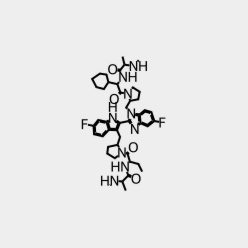 CCC(NC(=O)C(C)NC)C(=O)N1CCCC1Cc1c(-c2nc3cc(F)ccc3n2CC2CCCN2C(=O)C(NC(=O)C(C)NC)C2CCCCC2)[nH]c2cc(F)ccc12